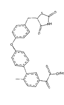 C=C(C(=O)OC)c1ccc(C)c(-c2ccc(Oc3ccc(CC4SC(=O)NC4=O)cc3)cc2)c1